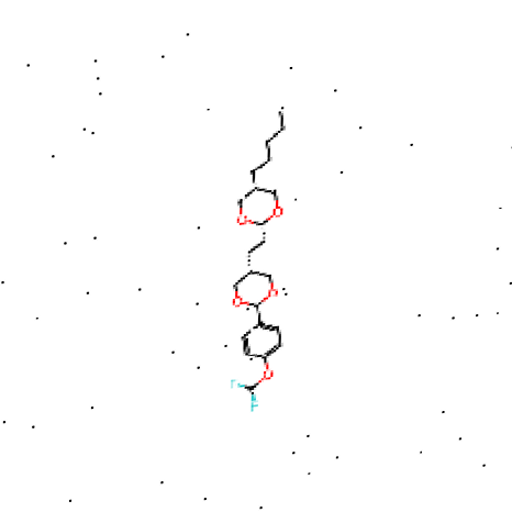 CCCCC[C@H]1CO[C@H](CC[C@H]2CO[C@H](c3ccc(OC(F)F)cc3)OC2)OC1